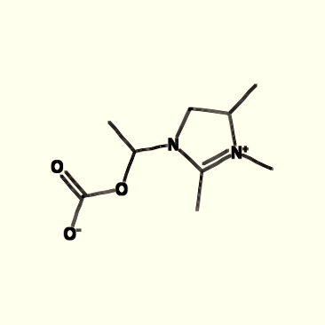 CC1=[N+](C)C(C)CN1C(C)OC(=O)[O-]